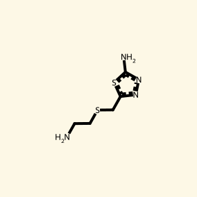 NCCSCc1nnc(N)s1